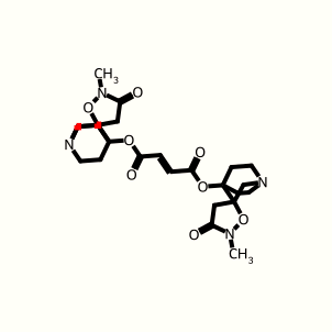 CN1OC2(CC1=O)CN1CCC2(OC(=O)/C=C/C(=O)OC23CCN(CC2)CC32CC(=O)N(C)O2)CC1